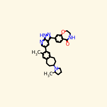 Cc1cc2c(cc1-c1cnc3[nH]nc(-c4ccc5c(c4)OCCNC5=O)c3c1)CCC(N1CCC[C@H]1C)CC2